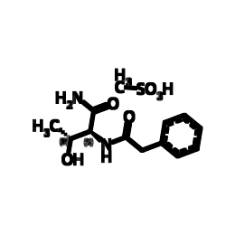 CS(=O)(=O)O.C[C@@H](O)[C@H](NC(=O)Cc1ccccc1)C(N)=O